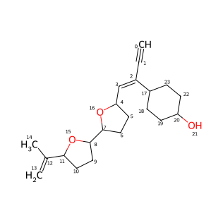 C#C/C(=C/C1CCC(C2CCC(C(=C)C)O2)O1)C1CCC(O)CC1